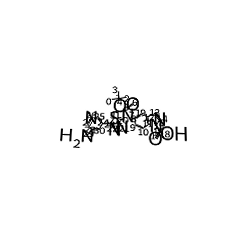 CC(C)(C)OC(=O)N(c1ccc2c(cnn2C(=O)O)c1)c1nnc(-c2cncc(N)c2)s1